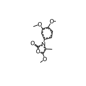 COc1ccc(-n2c(C)c(OC)oc2=O)cc1OC